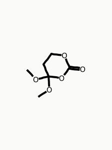 COC1(OC)CCOC(=O)O1